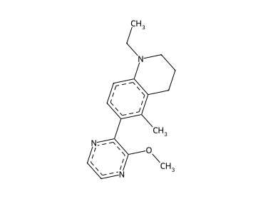 CCN1CCCc2c1ccc(-c1nccnc1OC)c2C